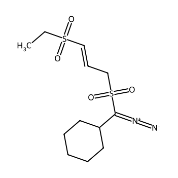 CCS(=O)(=O)C=CCS(=O)(=O)C(=[N+]=[N-])C1CCCCC1